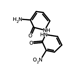 Nc1ccc[nH]c1=O.O=c1[nH]cccc1[N+](=O)[O-]